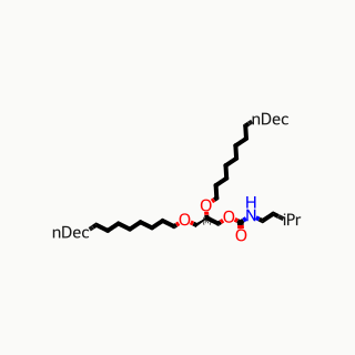 CCCCCCCCCCCCCCCCCCOC[C@H](COC(=O)NCCC(C)C)OCCCCCCCCCCCCCCCCCC